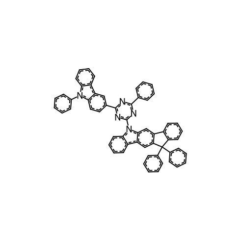 c1ccc(-c2nc(-c3ccc4c(c3)c3ccccc3n4-c3ccccc3)nc(-n3c4ccccc4c4cc5c(cc43)-c3ccccc3C5(c3ccccc3)c3ccccc3)n2)cc1